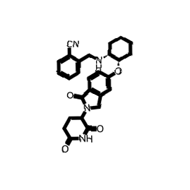 N#Cc1ccccc1CN[C@@H]1CCCC[C@@H]1Oc1ccc2c(c1)CN(C1CCC(=O)NC1=O)C2=O